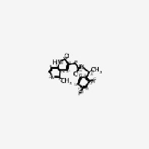 Cc1nccc2[nH]c(=O)c(CC(=O)N[C@@H](C)c3ccc(F)cc3F)cc12